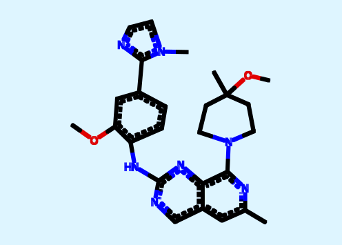 COc1cc(-c2nccn2C)ccc1Nc1ncc2cc(C)nc(N3CCC(C)(OC)CC3)c2n1